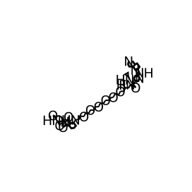 O=C1CCC(N2C(=O)c3cccc(NCCOCCOCCOCCOCCOCCOCC(F)CNC(=O)c4cnc(Nc5ccc6cnccc6n5)cc4NC4CC4)c3C2=O)C(=O)N1